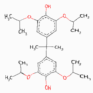 CC(C)Oc1cc(C(C)(C)c2cc(OC(C)C)c(O)c(OC(C)C)c2)cc(OC(C)C)c1O